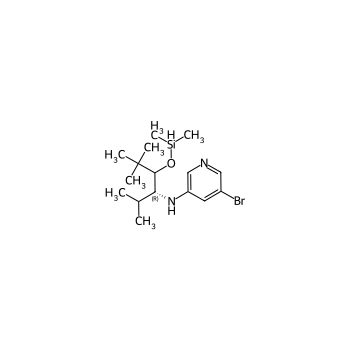 CC(C)[C@@H](Nc1cncc(Br)c1)C(O[SiH](C)C)C(C)(C)C